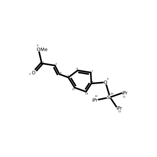 COC(=O)/C=C/c1ccc(O[Si](C(C)C)(C(C)C)C(C)C)cc1